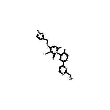 Cc1cnc(-c2ccnc(CO)n2)cc1-n1c(C)cc(OCc2ccn(C)n2)c(Cl)c1=O